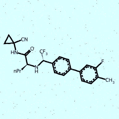 CCC[C@H](N[C@@H](c1ccc(-c2ccc(C)c(F)c2)cc1)C(F)(F)F)C(=O)NC1(C#N)CC1